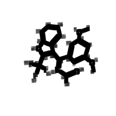 COc1cc(OC)cc(C(=NC(C)=O)c2c(C(F)(F)F)oc3ccccc23)c1